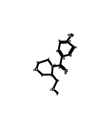 COCC1COCCN1C(=O)c1ccc(Br)cc1